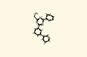 CC(C)Cc1nc(-c2ccccc2)nc(-c2cccc(-c3cccnc3)c2)n1